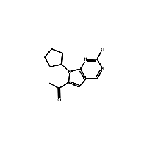 CC(=O)c1cc2cnc(Cl)nc2n1C1CCCC1